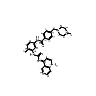 C=C(/N=C(\C=C/N)c1cccnc1)Nc1cc(NC(=O)c2ccc(CN3CCN(C)CC3)cc2)ccc1C